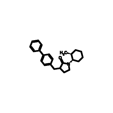 C[C@@H]1CCCC[C@@H]1N1CCC(Cc2ccc(-c3ccccc3)cc2)C1=O